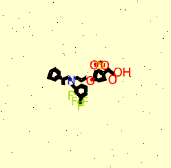 CC(CN(CCCOc1ccc(CC(=O)O)c(S(C)(=O)=O)c1)Cc1cccc(C(F)(F)F)c1F)c1ccccc1